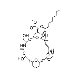 C=C1C[C@H](O)C[C@@H]2CCC[C@H](C[C@@H]3CCO[C@H](/C=C/C(C)(C)[C@]4(O)OC(C/C(=C\C(=O)OC)[C@@H]4OC(=O)CCCCCCC)CC(CO)N1)O3)O2